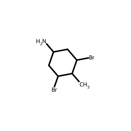 CC1C(Br)CC(N)CC1Br